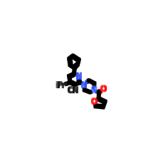 CC(C)c1cc(-c2ccccc2)nc(N2CCN(C(=O)c3ccco3)CC2)c1C#N